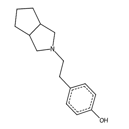 Oc1ccc(CCN2CC3CCCC3C2)cc1